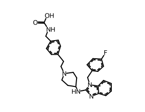 O=C(O)NCc1ccc(CCN2CCC(Nc3nc4ccccc4n3Cc3ccc(F)cc3)CC2)cc1